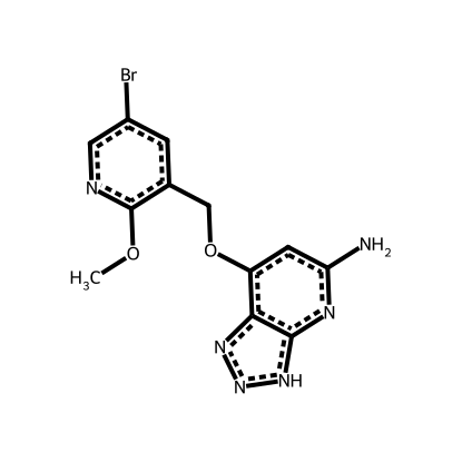 COc1ncc(Br)cc1COc1cc(N)nc2[nH]nnc12